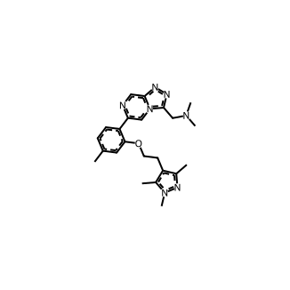 Cc1ccc(-c2cn3c(CN(C)C)nnc3cn2)c(OCCc2c(C)nn(C)c2C)c1